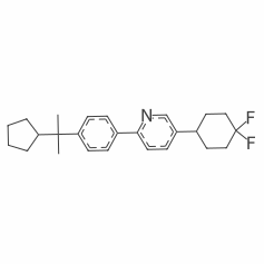 CC(C)(c1ccc(-c2ccc(C3CCC(F)(F)CC3)cn2)cc1)C1CCCC1